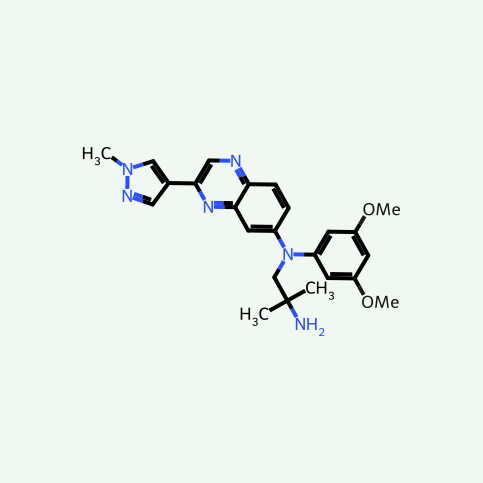 COc1cc(OC)cc(N(CC(C)(C)N)c2ccc3ncc(-c4cnn(C)c4)nc3c2)c1